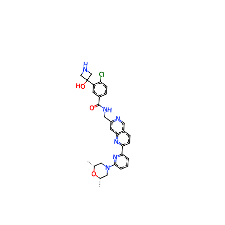 C[C@@H]1CN(c2cccc(-c3ccc4cnc(CNC(=O)c5ccc(Cl)c(C6(O)CNC6)c5)cc4n3)n2)C[C@H](C)O1